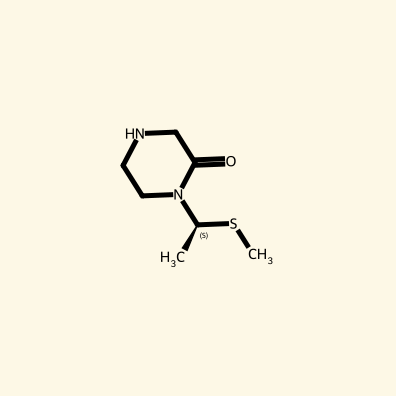 CS[C@@H](C)N1CCNCC1=O